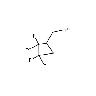 CC(C)CC1CC(F)(F)C1(F)F